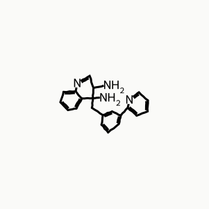 NC1C=Nc2ccccc2C1(N)Cc1cccc(-c2ccccn2)c1